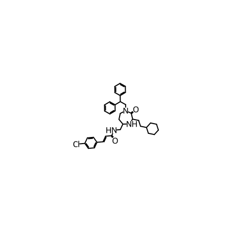 O=C(/C=C/c1ccc(Cl)cc1)NCC1CCN(CC(c2ccccc2)c2ccccc2)C(=O)C(CCC2CCCCC2)N1